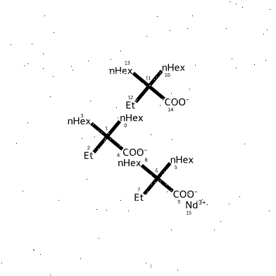 CCCCCCC(CC)(CCCCCC)C(=O)[O-].CCCCCCC(CC)(CCCCCC)C(=O)[O-].CCCCCCC(CC)(CCCCCC)C(=O)[O-].[Nd+3]